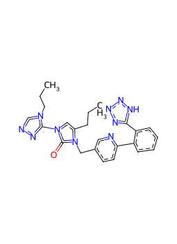 CCCc1cn(-c2nncn2CCC)c(=O)n1Cc1ccc(-c2ccccc2-c2nnn[nH]2)nc1